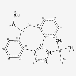 CCCC(C)(C)n1nnc2c1-c1ccccc1CC(OC(C)(C)C)c1ccccc1-2